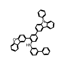 c1ccc(-c2cccc(Nc3ccc(-c4ccc5c(c4)c4ccccc4n5-c4ccccc4)cc3-c3ccc4oc5ccccc5c4c3)c2)cc1